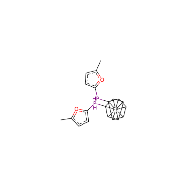 Cc1ccc(P[C]23[CH]4[CH]5[CH]6[CH]2[Fe]56432789[CH]3[CH]2[CH]7[C]8(Pc2ccc(C)o2)[CH]39)o1